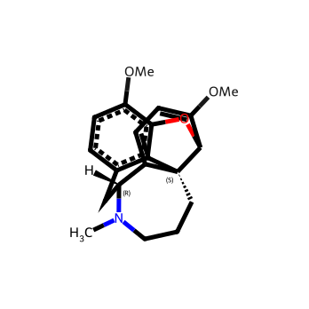 COC1=CC=C2[C@H]3Cc4ccc(OC)c5c4[C@@]2(CCCN3C)C1O5